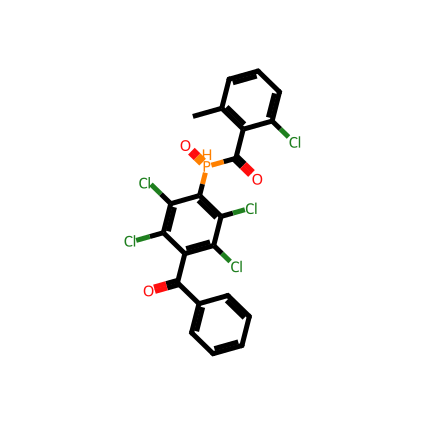 Cc1cccc(Cl)c1C(=O)[PH](=O)c1c(Cl)c(Cl)c(C(=O)c2ccccc2)c(Cl)c1Cl